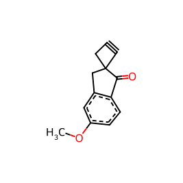 COc1ccc2c(c1)CC1(C#CC1)C2=O